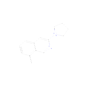 Cc1cccc2cc(N3CC[C@H](C)C3)ncc12